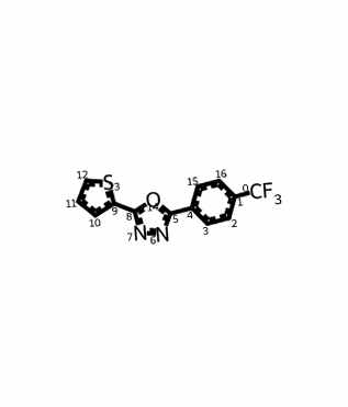 FC(F)(F)c1ccc(-c2nnc(-c3cccs3)o2)cc1